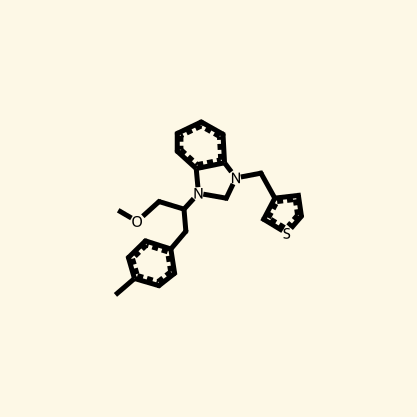 COCC(Cc1ccc(C)cc1)N1CN(Cc2ccsc2)c2ccccc21